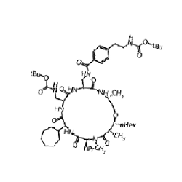 CCCCCC[C@H]1OC[C@@H](C)NC(=O)[C@H](CNC(=O)c2ccc(CCNC(=O)OC(C)(C)C)cc2)NC(=O)[C@H](CNC(=O)OC(C)(C)C)NC(=O)[C@H](C2CCCCCC2)NC(=O)[C@H](CCC)N(C)C(=O)[C@@H]1C